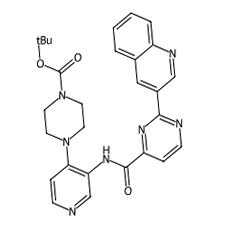 CC(C)(C)OC(=O)N1CCN(c2ccncc2NC(=O)c2ccnc(-c3cnc4ccccc4c3)n2)CC1